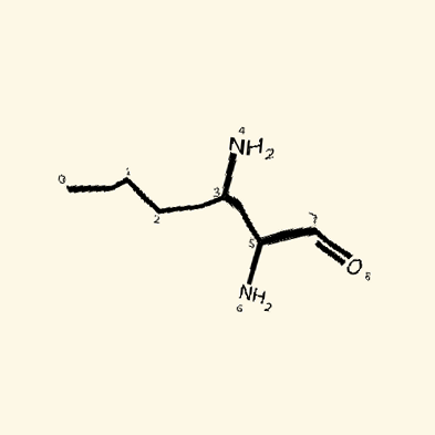 CCCC(N)C(N)C=O